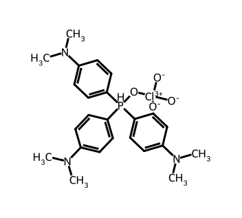 CN(C)c1ccc([PH](O[Cl+3]([O-])([O-])[O-])(c2ccc(N(C)C)cc2)c2ccc(N(C)C)cc2)cc1